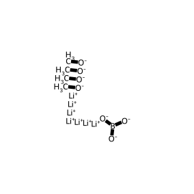 C[O-].C[O-].C[O-].C[O-].[Li+].[Li+].[Li+].[Li+].[Li+].[Li+].[Li+].[O-]B([O-])[O-]